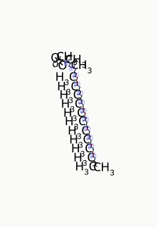 CC(C)=CCC/C(C)=C/CC/C(C)=C/CC/C(C)=C/CC/C(C)=C/CC/C(C)=C/CC/C(C)=C/CC/C(C)=C/CC/C(C)=C/CC/C(C)=C/CC/C(C)=C/CC/C(C)=C/CC/C(C)=C/CC1=C(C)C(=O)c2ccccc2C1=O